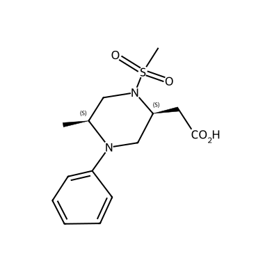 C[C@H]1CN(S(C)(=O)=O)[C@@H](CC(=O)O)CN1c1ccccc1